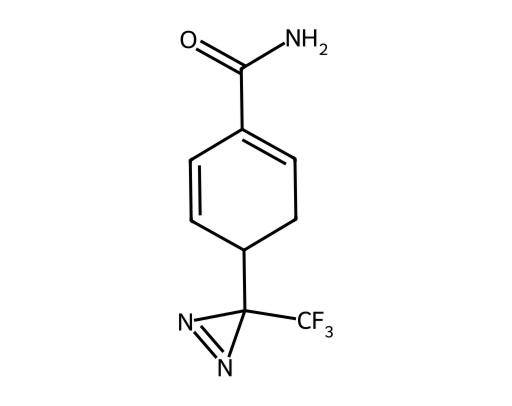 NC(=O)C1=CCC(C2(C(F)(F)F)N=N2)C=C1